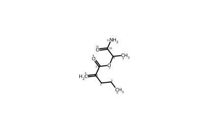 C=C(CCC)C(=O)OC(C)C(N)=O